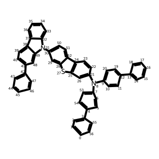 c1ccc(-c2ccc(N(c3ccc(-c4ccccc4)cc3)c3ccc4c(c3)sc3cc(-n5c6ccccc6c6ccc(-c7ccccc7)cc65)ccc34)cc2)cc1